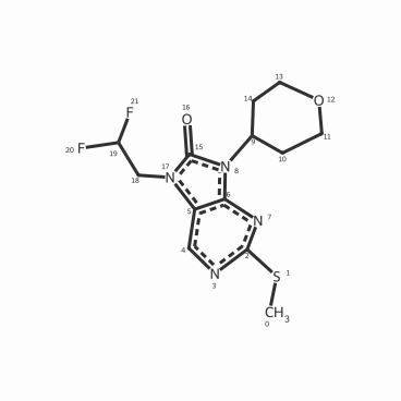 CSc1ncc2c(n1)n(C1CCOCC1)c(=O)n2CC(F)F